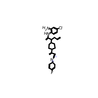 C=CCC(C(=C)Nc1ccc(Cl)cc1N)C1CCC(C(=C)/C=C\N=C2\C=CC(F)=CC2)CC1